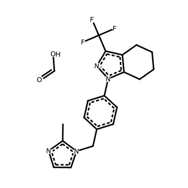 Cc1nccn1Cc1ccc(-n2nc(C(F)(F)F)c3c2CCCC3)cc1.O=CO